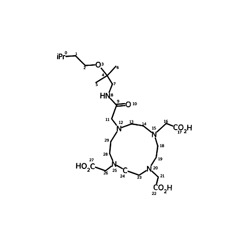 CC(C)CCOC(C)(C)CNC(=O)CN1CCN(CC(=O)O)CCN(CC(=O)O)CCN(CC(=O)O)CC1